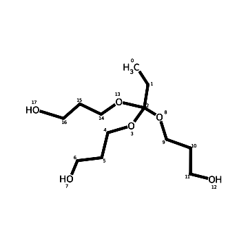 CCC(OCCCO)(OCCCO)OCCCO